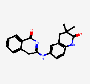 CC1(C)Cc2cc(NC3=NC(=O)c4ccccc4C3)ccc2NC1=O